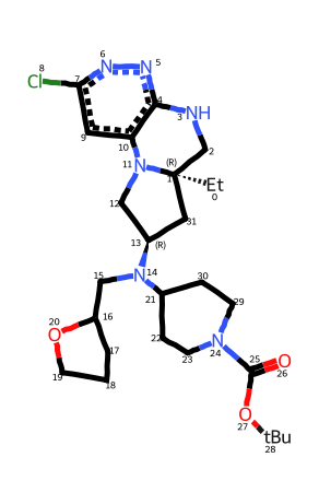 CC[C@@]12CNc3nnc(Cl)cc3N1C[C@H](N(CC1CCCO1)C1CCN(C(=O)OC(C)(C)C)CC1)C2